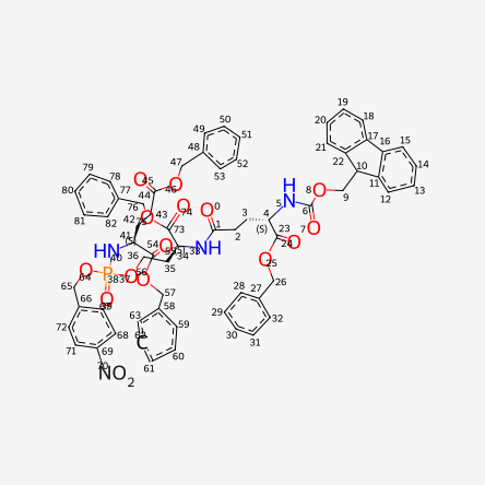 O=C(CC[C@H](NC(=O)OCC1c2ccccc2-c2ccccc21)C(=O)OCc1ccccc1)N[C@@H](CCOP(=O)(N[C@@H](CCC(=O)OCc1ccccc1)C(=O)OCc1ccccc1)OCc1ccc([N+](=O)[O-])cc1)C(=O)OCc1ccccc1